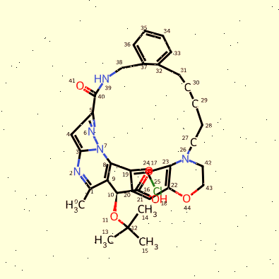 Cc1nc2cc3nn2c(c1[C@H](OC(C)(C)C)C(=O)O)-c1ccc2c(c1Cl)N(CCCCCc1ccccc1CNC3=O)CCO2